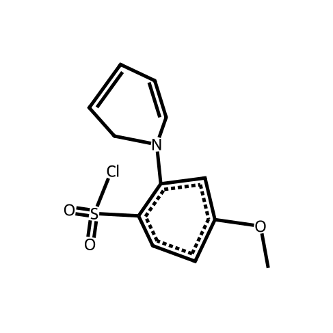 COc1ccc(S(=O)(=O)Cl)c(N2C=CC=CC2)c1